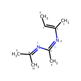 CC=C(C)/N=C(/C)N=C(C)C